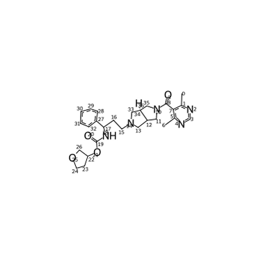 Cc1ncnc(C)c1C(=O)N1CC2CN(CCC(NC(=O)OC3CCOC3)c3ccccc3)C[C@H]2C1